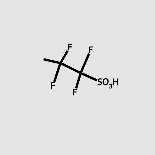 CC(F)(F)C(F)(F)S(=O)(=O)O